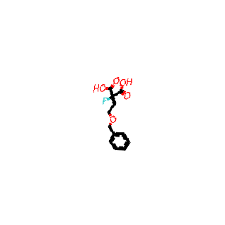 O=C(O)C(F)(CCOCc1ccccc1)C(=O)O